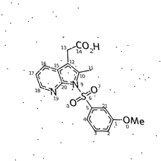 COc1cccc(S(=O)(=O)n2c(C)c(CC(=O)O)c3cccnc32)c1